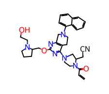 C=CC(=O)N1CCN(c2nc(OCC3CCCN3CCO)nc3c2CCN(c2cccc4ccccc24)C3)CC1CC#N